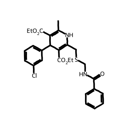 CCOC(=O)C1=C(C)NC(CSCNC(=O)c2ccccc2)=C(C(=O)OCC)C1c1cccc(Cl)c1